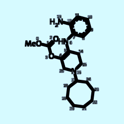 COC(=O)OC1=C(Nc2ccccc2N)CCN(C2CCCCCCC2)C1